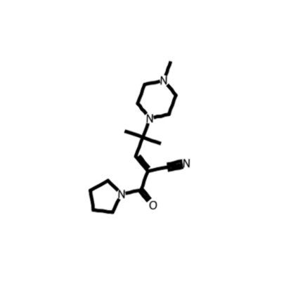 CN1CCN(C(C)(C)/C=C(\C#N)C(=O)N2CCCC2)CC1